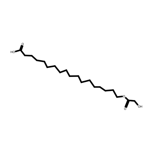 O=C(O)CCCCCCCCCCCCCCCCCOC(=O)CO